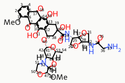 COc1cccc2c1C(=O)c1c(O)c3c(c(O)c1C2=O)C[C@@](O)(C(=O)N[C@H]1CO[C@H]2[C@@H]1OC[C@@H]2NC(=O)CN)C[C@@H]3O[C@H]1C[C@H]2[C@H](O[C@@H]3[C@@H](OC)OCCN32)[C@H](C)O1